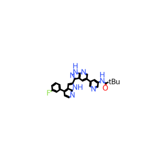 CC(C)(C)C(=O)Nc1cncc(-c2cnc3[nH]nc(-c4cc5c(-c6cccc(F)c6)ccnc5[nH]4)c3c2)c1